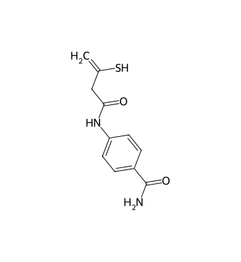 C=C(S)CC(=O)Nc1ccc(C(N)=O)cc1